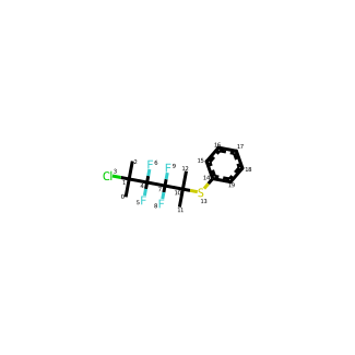 CC(C)(Cl)C(F)(F)C(F)(F)C(C)(C)Sc1ccccc1